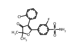 CC1(C)OC(c2ccc(S(N)(=O)=O)c(F)c2)=C(c2ccccc2Cl)C1=O